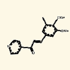 COc1cc(/C=C/C(=O)c2ccncc2)cc(C)c1OC